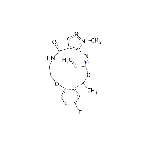 C=C/C1=N\c2c(cnn2C)C(=O)NCCOc2ccc(F)cc2C(C)O1